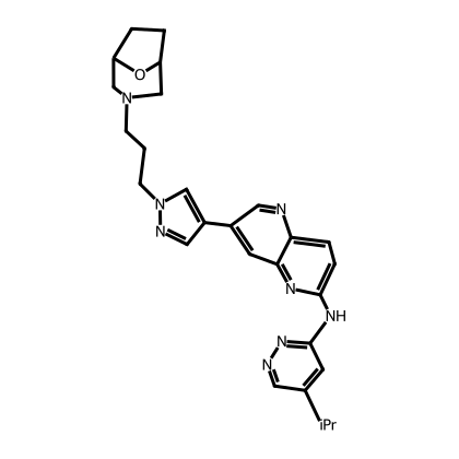 CC(C)c1cnnc(Nc2ccc3ncc(-c4cnn(CCCN5CC6CCC(C5)O6)c4)cc3n2)c1